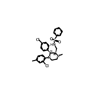 Cc1ccc(N2CCN(C)[C@H](CNS(=O)(=O)c3ccccc3)[C@@H]2c2ccc(Cl)cc2)c(Cl)c1